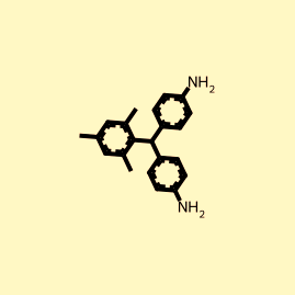 Cc1cc(C)c(C(c2ccc(N)cc2)c2ccc(N)cc2)c(C)c1